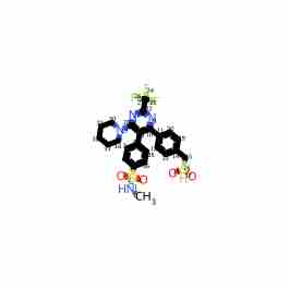 CNS(=O)(=O)c1ccc(-c2c(-c3ccc(C[SH](=O)=O)cc3)nc(C(F)(F)F)nc2N2CCCCC2)cc1